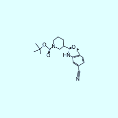 CC(C)(C)OC(=O)N1CCCC(C(=O)Nc2cc(C#N)ccc2F)C1